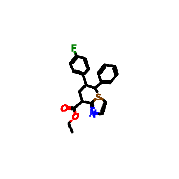 CCOC(=O)C(CC(c1ccc(F)cc1)C(C)c1ccccc1)c1nccs1